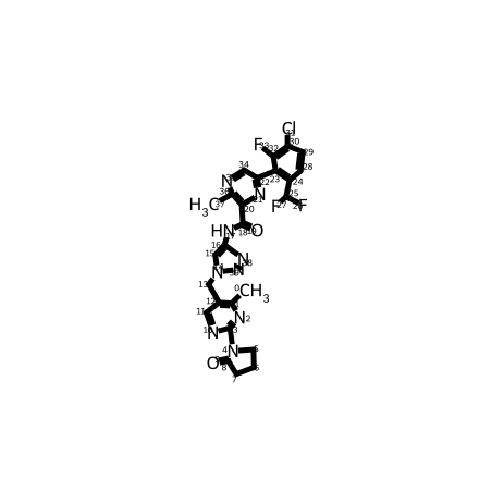 Cc1nc(N2CCCC2=O)ncc1Cn1cc(NC(=O)c2nc(-c3c(C(F)F)ccc(Cl)c3F)cnc2C)nn1